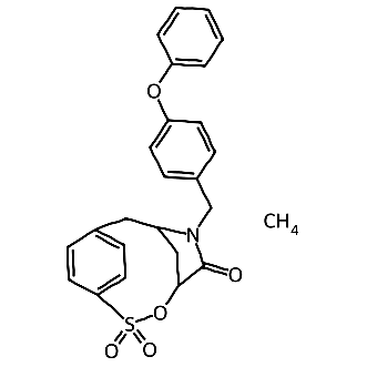 C.O=C1C2CC(Cc3ccc(cc3)S(=O)(=O)O2)N1Cc1ccc(Oc2ccccc2)cc1